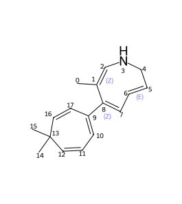 CC1=C/NC/C=C/C=C\1C1=CC=CC(C)(C)C=C1